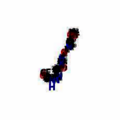 CC1(C)OB(c2ccc3c(ccn3CCOCCN3CCN(C(=O)c4cccc(-c5cc(Nc6ccc(OC(F)(F)F)cc6)ncn5)c4)CC3)c2)OC1(C)C